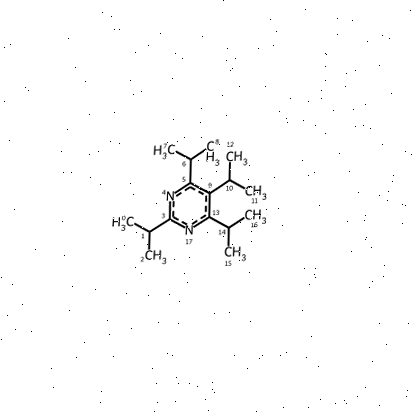 CC(C)c1nc(C(C)C)c(C(C)C)c(C(C)C)n1